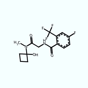 CN(C(=O)CNC(=O)c1ccc(F)cc1C(F)(F)F)C1(O)CCC1